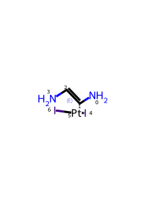 N/C=C/N.[I][Pt][I]